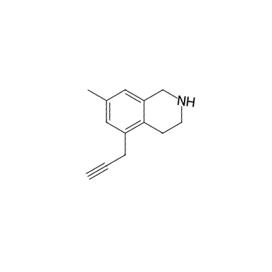 C#CCc1cc(C)cc2c1CCNC2